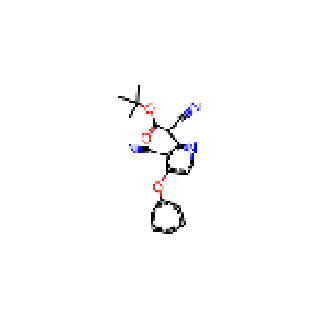 CC(C)(C)OC(=O)C(C#N)c1nccc(Oc2ccccc2)c1C#N